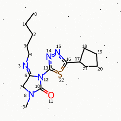 CCCCCN=C1CN(C)C(=O)N1c1nnc(C2CCCC2)s1